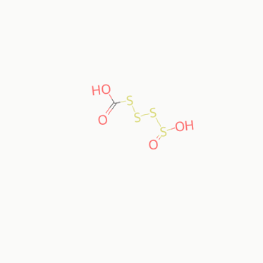 O=C(O)SSSS(=O)O